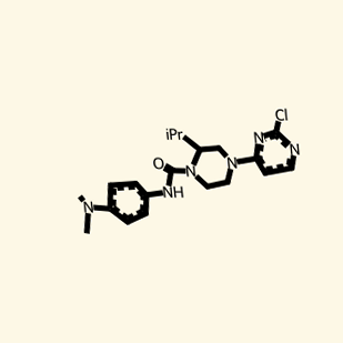 CC(C)C1CN(c2ccnc(Cl)n2)CCN1C(=O)Nc1ccc(N(C)C)cc1